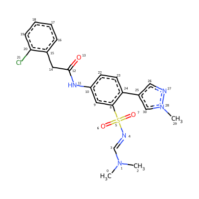 CN(C)C=NS(=O)(=O)c1cc(NC(=O)Cc2ccccc2Cl)ccc1-c1cnn(C)c1